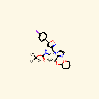 C[C@H](OC1CCCCO1)c1nccn1[C@H](CNC(=O)OC(C)(C)C)c1cc(-c2ccc(I)cc2)on1